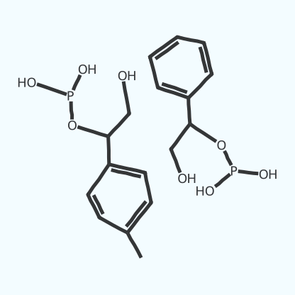 Cc1ccc(C(CO)OP(O)O)cc1.OCC(OP(O)O)c1ccccc1